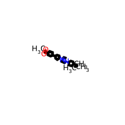 COC(=O)c1ccc(-c2ccc(N3CCN([C@H]4CC[C@H](C(C)(C)C)CC4)CC3)cc2)cc1